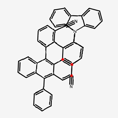 N#Cc1ccc(-n2c3ccccc3c3ccccc32)c(-c2c(C#N)cccc2-c2c3ccccc3c(-c3ccccc3)c3ccccc23)c1